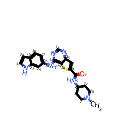 CN1CCC(NC(=O)c2cc3ncnc(Nc4ccc5cc[nH]c5c4)c3s2)CC1